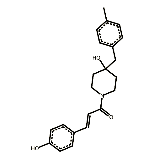 Cc1ccc(CC2(O)CCN(C(=O)C=Cc3ccc(O)cc3)CC2)cc1